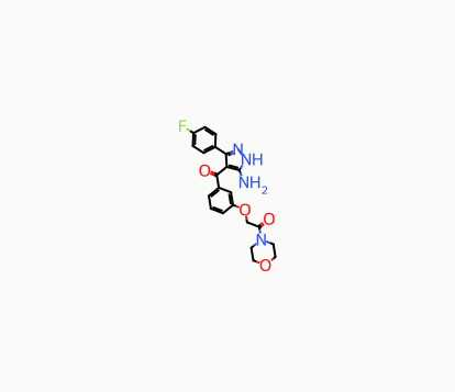 Nc1[nH]nc(-c2ccc(F)cc2)c1C(=O)c1cccc(OCC(=O)N2CCOCC2)c1